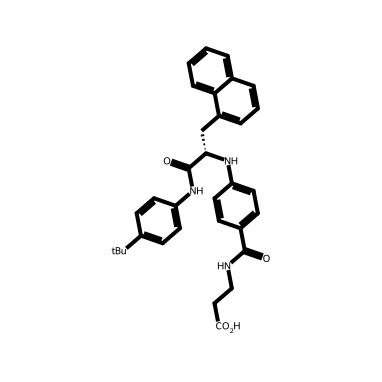 CC(C)(C)c1ccc(NC(=O)[C@H](Cc2cccc3ccccc23)Nc2ccc(C(=O)NCCC(=O)O)cc2)cc1